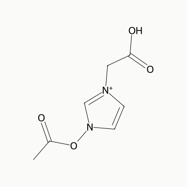 CC(=O)On1cc[n+](CC(=O)O)c1